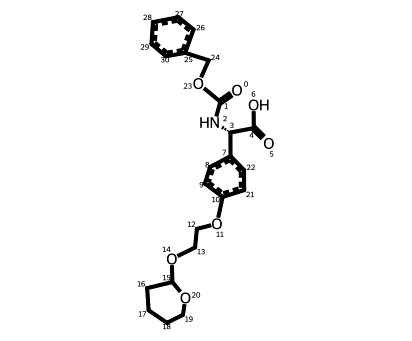 O=C(N[C@H](C(=O)O)c1ccc(OCCOC2CCCCO2)cc1)OCc1ccccc1